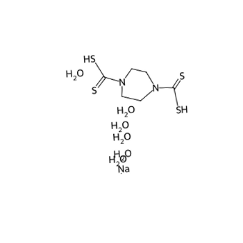 O.O.O.O.O.O.S=C(S)N1CCN(C(=S)S)CC1.[Na]